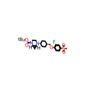 CC(C)(C)OC(=O)N1CCN([C@H]2CC[C@H](COc3ccc(S(C)(=O)=O)cc3F)CC2)[C@@H]2C[C@@H]21